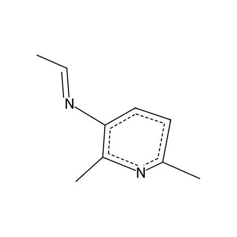 C/C=N/c1ccc(C)nc1C